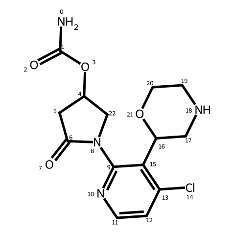 NC(=O)OC1CC(=O)N(c2nccc(Cl)c2C2CNCCO2)C1